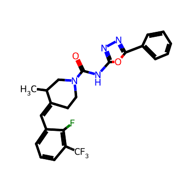 CC1CN(C(=O)Nc2nnc(-c3ccccc3)o2)CCC1=Cc1cccc(C(F)(F)F)c1F